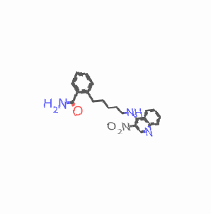 NC(=O)c1ccccc1CCCCCNc1c([N+](=O)[O-])cnc2ccccc12